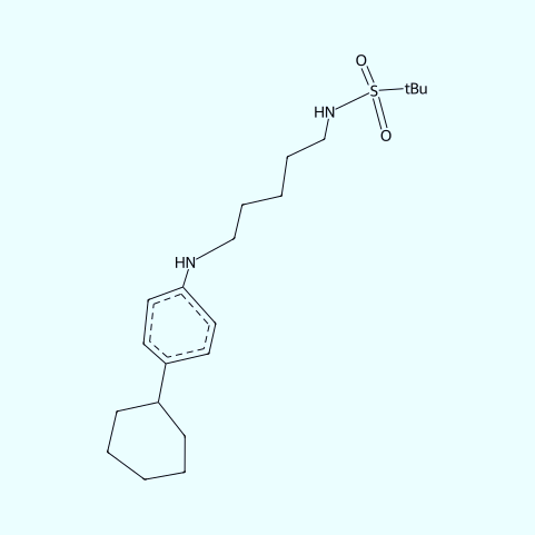 CC(C)(C)S(=O)(=O)NCCCCCNc1ccc(C2CCCCC2)cc1